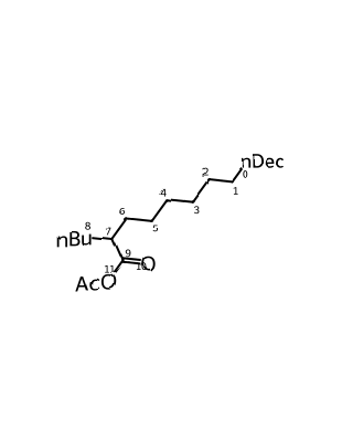 CCCCCCCCCCCCCCCCC(CCCC)C(=O)OC(C)=O